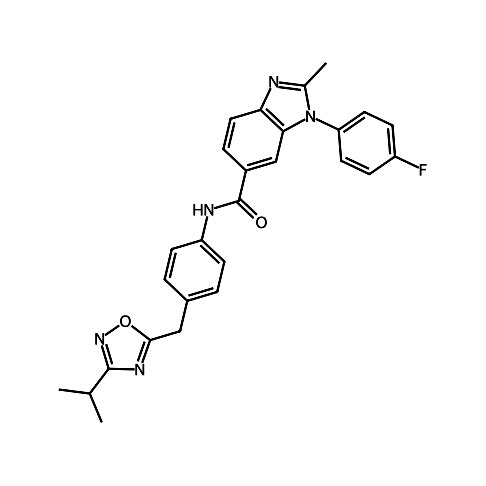 Cc1nc2ccc(C(=O)Nc3ccc(Cc4nc(C(C)C)no4)cc3)cc2n1-c1ccc(F)cc1